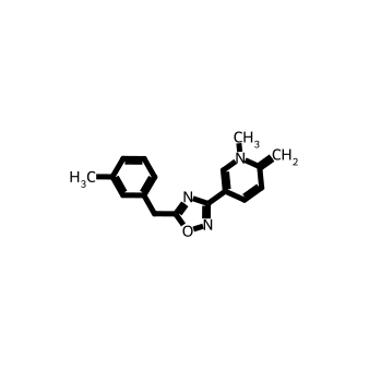 C=C1C=CC(c2noc(Cc3cccc(C)c3)n2)=CN1C